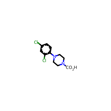 O=C(O)N1CCN(c2ccc(Cl)cc2Cl)CC1